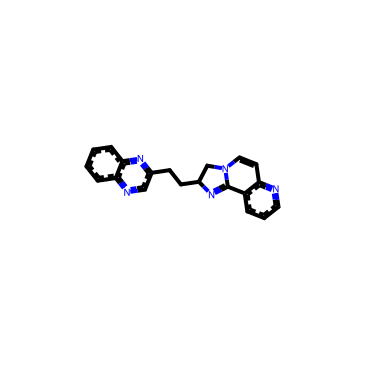 C1=CN2CC(CCc3cnc4ccccc4n3)N=C2c2cccnc21